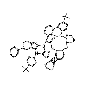 CC(C)(C)c1ccc(N2c3cccc4c3B(c3ccc5cc3N4c3c(ccc4c3oc3ccccc34)Oc3ccccc3N5c3ccc(C(C)(C)C)cc3-c3ccccc3)c3sc4ccc(-c5ccccc5)cc4c32)cc1